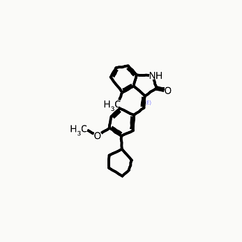 COc1ccc(/C=C2/C(=O)Nc3cccc(C)c32)cc1C1CCCCC1